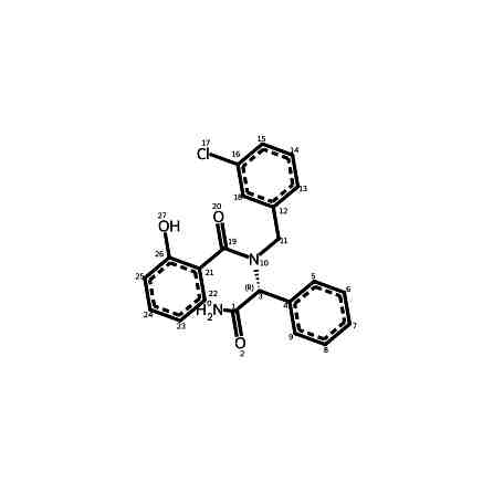 NC(=O)[C@@H](c1ccccc1)N(Cc1cccc(Cl)c1)C(=O)c1ccccc1O